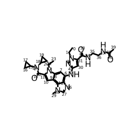 CCn1nc(Nc2cc3c(cc(C(=O)N(C4CC4)C4CC4)n3CC)c3c2ncn3C)cc1C(=O)NCCNC(C)=O